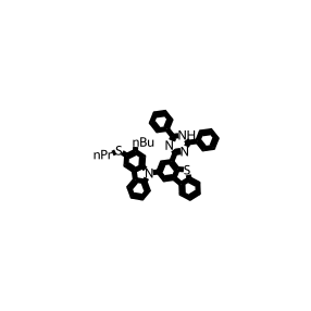 CCCCc1cc2c(cc1SCCC)c1ccccc1n2-c1cc(C2=NC(c3ccccc3)NC(c3ccccc3)=N2)c2sc3ccccc3c2c1